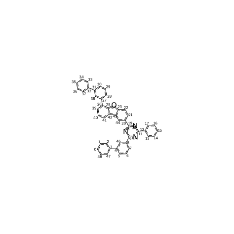 c1ccc(-c2cccc(-c3nc(-c4ccccc4)nc(-c4ccc5oc6c(-c7cccc(-c8ccccc8)c7)cccc6c5c4)n3)c2)cc1